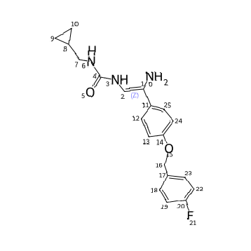 N/C(=C\NC(=O)NCC1CC1)c1ccc(OCc2ccc(F)cc2)cc1